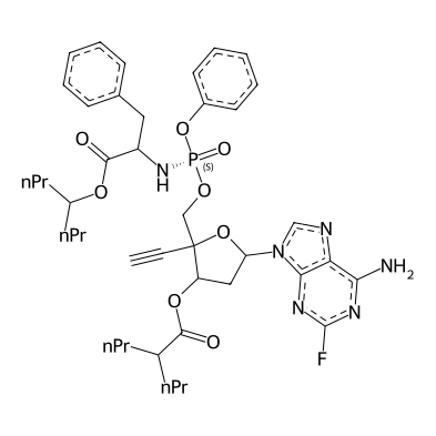 C#CC1(CO[P@@](=O)(NC(Cc2ccccc2)C(=O)OC(CCC)CCC)Oc2ccccc2)OC(n2cnc3c(N)nc(F)nc32)CC1OC(=O)C(CCC)CCC